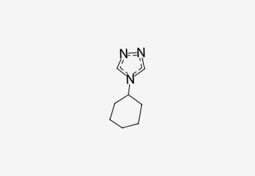 c1nncn1C1CCCCC1